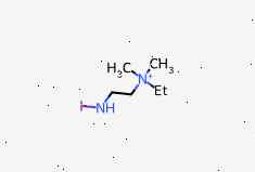 CC[N+](C)(C)CCNI